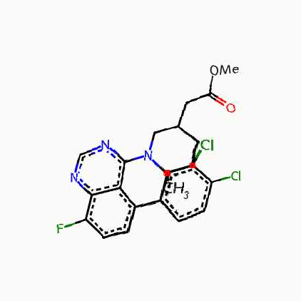 COC(=O)CC1CCC(C)N(c2ncnc3c(F)ccc(-c4ccc(Cl)c(Cl)c4)c23)C1